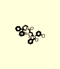 CCCCC(Cc1nc2ccccc2c(=O)n1-c1cccc(Cl)c1)C(=O)N1CCCC(c2ccccc2)(c2ccccc2)C1